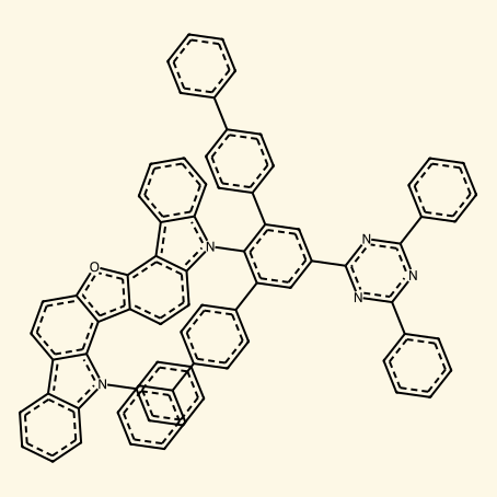 c1ccc(-c2ccc(-c3cc(-c4nc(-c5ccccc5)nc(-c5ccccc5)n4)cc(-c4ccc(-c5ccccc5)cc4)c3-n3c4ccccc4c4c5oc6ccc7c8ccccc8n(-c8ccccc8)c7c6c5ccc43)cc2)cc1